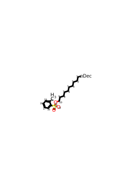 CCCCCCCCCCCCCCCCCCCCOS(=O)(=O)c1ccccc1C